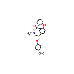 CN1CC(COc2ccc(C=O)cc2)c2ccc(O)c(c2)C(O)(c2ccccc2)O1